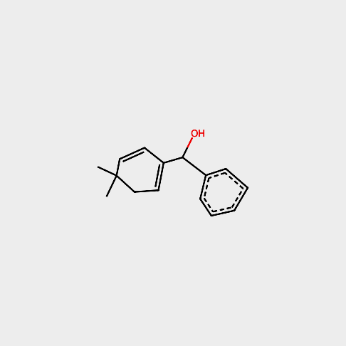 CC1(C)C=CC(C(O)c2ccccc2)=CC1